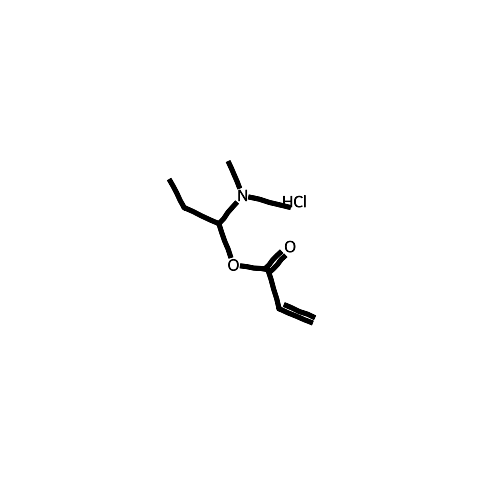 C=CC(=O)OC(CC)N(C)C.Cl